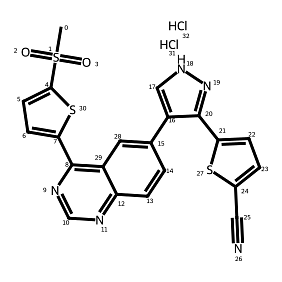 CS(=O)(=O)c1ccc(-c2ncnc3ccc(-c4c[nH]nc4-c4ccc(C#N)s4)cc23)s1.Cl.Cl